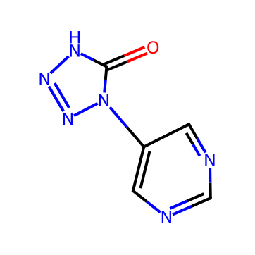 O=c1[nH]nnn1-c1cncnc1